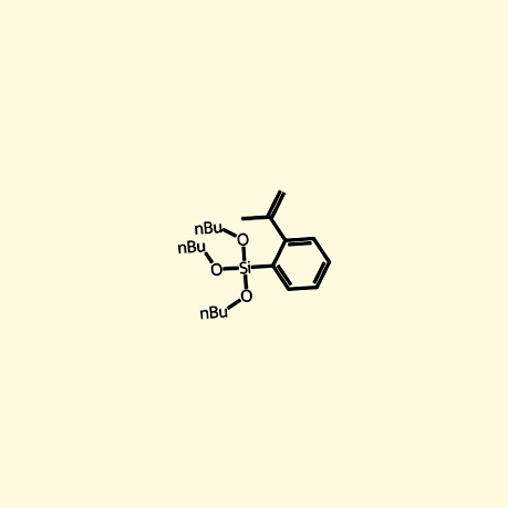 C=C(C)c1ccccc1[Si](OCCCC)(OCCCC)OCCCC